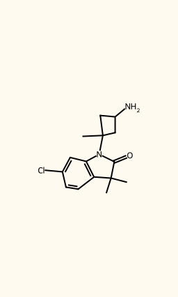 CC1(C)C(=O)N(C2(C)CC(N)C2)c2cc(Cl)ccc21